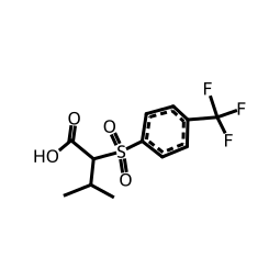 CC(C)C(C(=O)O)S(=O)(=O)c1ccc(C(F)(F)F)cc1